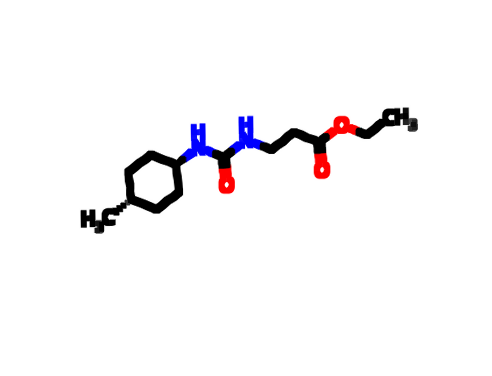 CCOC(=O)CCNC(=O)N[C@H]1CC[C@H](C)CC1